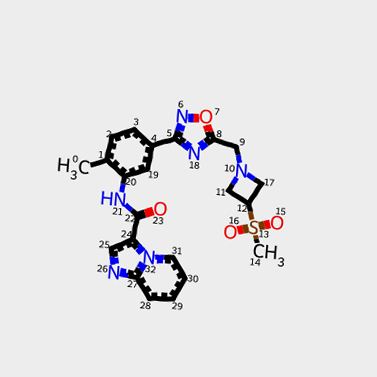 Cc1ccc(-c2noc(CN3CC(S(C)(=O)=O)C3)n2)cc1NC(=O)c1cnc2ccccn12